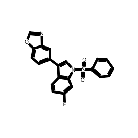 O=S(=O)(c1ccccc1)n1cc(-c2ccc3ocnc3c2)c2ccc(F)cc21